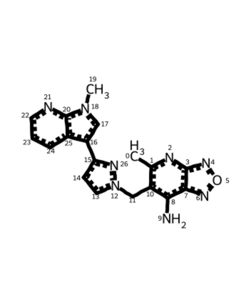 Cc1nc2nonc2c(N)c1Cn1ccc(-c2cn(C)c3ncccc23)n1